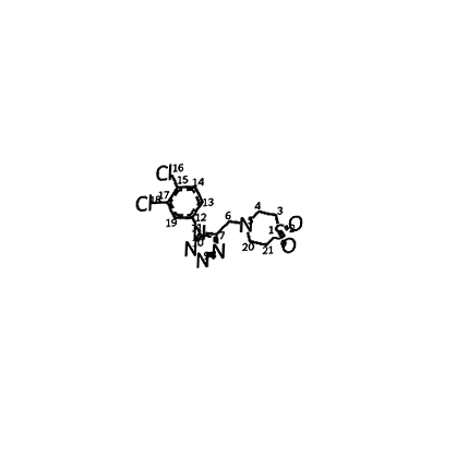 O=S1(=O)CCN(Cc2nnnn2-c2ccc(Cl)c(Cl)c2)CC1